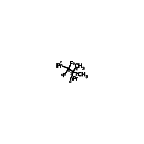 CCCC(C)(C)C(F)(F)C(C)C